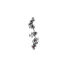 C=C(C)C1CCC2(C(=O)NCCCCC(N)C(=O)NC(CCCCNC(=O)C34CCC(C(=C)C)C3[C@H]3CC[C@@H]5[C@@]6(C)CCC(=O)C(C)(C)[C@@H]6CC[C@@]5(C)[C@]3(C)CC4)C(C)=O)CC[C@]3(C)[C@H](CC[C@@H]4[C@@]5(C)CCC(=O)C(C)(C)[C@@H]5CC[C@]43C)C12